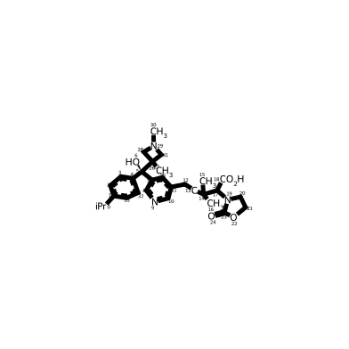 CC(C)c1ccc([C@](O)(c2cncc(CCC(C)(C)C(C(=O)O)N3CCOC3=O)c2)C2(C)CN(C)C2)cc1